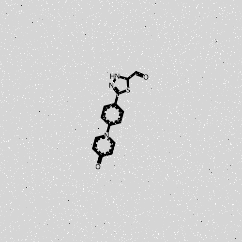 O=CC1NN=C(c2ccc(-n3ccc(=O)cc3)cc2)S1